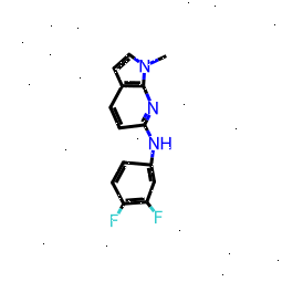 Cn1ccc2ccc(Nc3ccc(F)c(F)c3)nc21